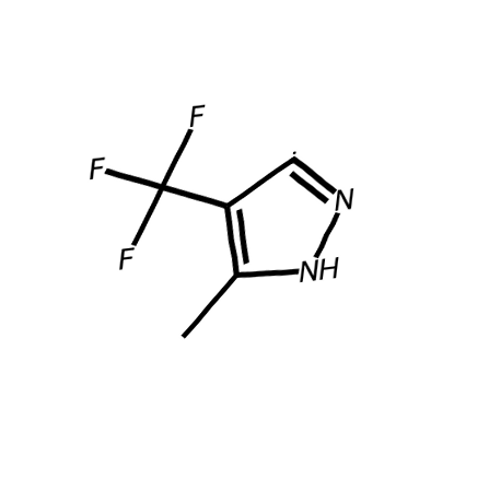 Cc1[nH]n[c]c1C(F)(F)F